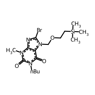 CCCCn1c(=O)c2c(nc(Br)n2COCC[Si](C)(C)C)n(C)c1=O